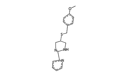 COc1ccc(CSC2CN=C(c3ccccn3)NC2)cc1